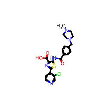 CN1CCN(Cc2ccc(C(=O)Nc3sc(-c4ccncc4Cl)nc3C(=O)O)cc2)CC1